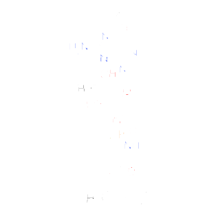 COc1nc(N)nc2c1ncn2[C@@H]1O[C@H](COP2(=O)N[C@H](C(=O)O[C@@H](C)c3ccccc3)CS2)[C@@H](O)[C@@]1(C)O